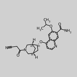 CC(C)Oc1cc2c(O[C@@H]3C[C@H]4C[C@@H]3CN(C(=O)CC#N)C4)ccnc2cc1C(N)=O